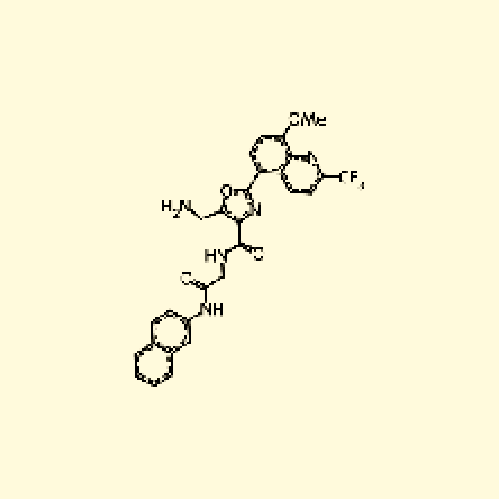 COc1ccc(-c2nc(C(=O)NCC(=O)Nc3ccc4ccccc4c3)c(CN)o2)c2ccc(C(F)(F)F)nc12